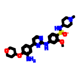 COc1cc(Nc2nccc(-c3ccc(OC4CCOCC4)c(N)c3)n2)ccc1[S+]([O-])NC1CCN(C)CC1